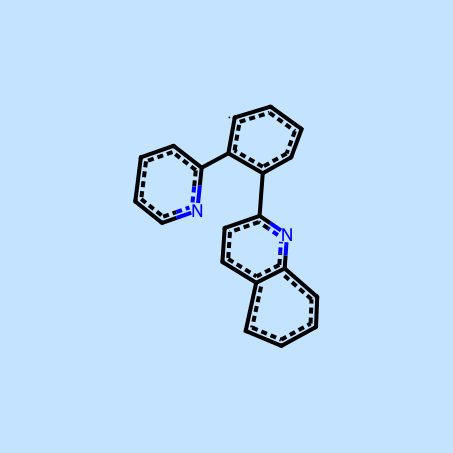 [c]1cccc(-c2ccc3ccccc3n2)c1-c1ccccn1